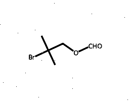 CC(C)(Br)COC=O